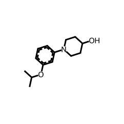 CC(C)Oc1cccc(N2CCC(O)CC2)c1